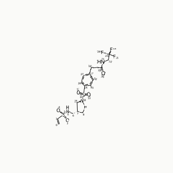 C=CS(=O)(=O)NC[C@H]1CCN(S(=O)(=O)c2ccc(CC(=O)NCC(F)(F)F)cc2)C1